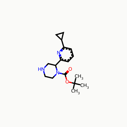 CC(C)(C)OC(=O)N1CCNCC1c1cccc(C2CC2)n1